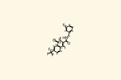 Cc1c(C(=O)NCc2cccc(F)c2)n(C)c(=O)c2cc(C(F)(F)F)ccc12